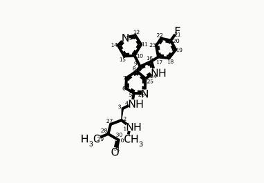 CN[C@H](CNc1ccc2c(-c3ccncc3)c(-c3ccc(F)cc3)[nH]c2n1)CC(C)C=O